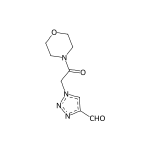 O=Cc1cn(CC(=O)N2CCOCC2)nn1